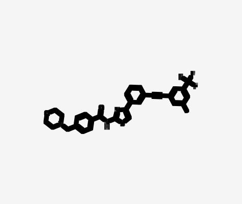 Cc1cc(C#Cc2cccc(-c3csc(NC(=O)c4ccc(CN5CCOCC5)cc4)n3)c2)cc(C(F)(F)F)c1